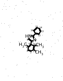 Cc1ccc(C)c(-c2c[nH]c(-c3ccccc3)n2)c1C